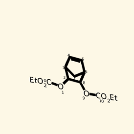 CCOC(=O)OC1C2C=CC(C2)C1OC(=O)OCC